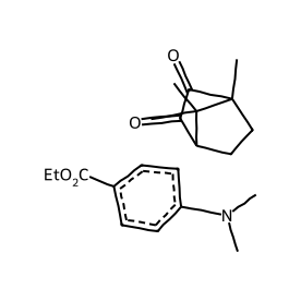 CC12CCC(C(=O)C1=O)C2(C)C.CCOC(=O)c1ccc(N(C)C)cc1